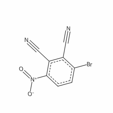 N#Cc1c(Br)ccc([N+](=O)[O-])c1C#N